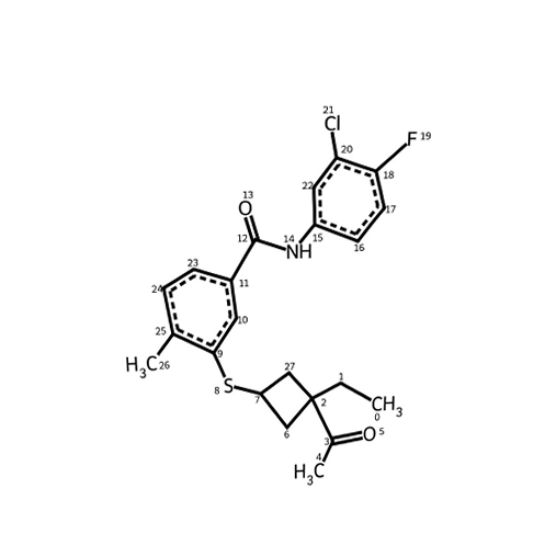 CCC1(C(C)=O)CC(Sc2cc(C(=O)Nc3ccc(F)c(Cl)c3)ccc2C)C1